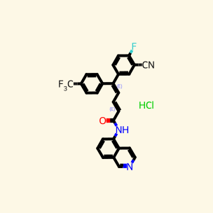 Cl.N#Cc1cc(/C(=C/C=C/C(=O)Nc2cccc3cnccc23)c2ccc(C(F)(F)F)cc2)ccc1F